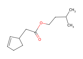 CC(C)CCOC(=O)CC1C=CCC1